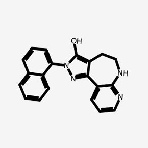 Oc1c2c(nn1-c1cccc3ccccc13)-c1cccnc1NCC2